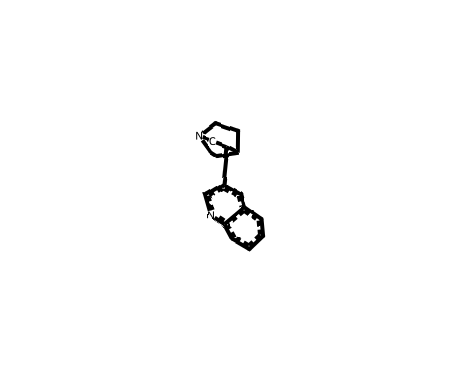 c1ccc2ncc(C3CN4CCC3CC4)cc2c1